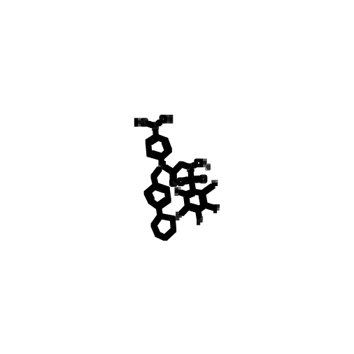 CN(CC(=O)N(Cc1ccc(C2CCCCC2)cc1)c1ccc(B(O)O)cc1)S(=O)(=O)c1c(F)c(F)c(F)c(F)c1F